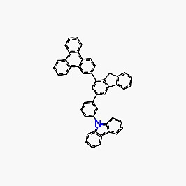 c1cc(-c2cc(-c3ccc4c5ccccc5c5ccccc5c4c3)c3c(c2)-c2ccccc2C3)cc(-n2c3ccccc3c3ccccc32)c1